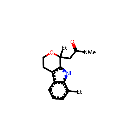 CCc1cccc2c3c([nH]c12)C(CC)(CC(=O)NC)OCC3